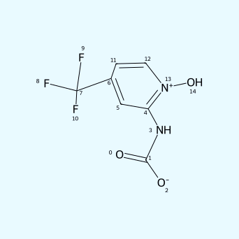 O=C([O-])Nc1cc(C(F)(F)F)cc[n+]1O